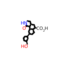 O=C(O)c1cc2cc[nH]c(=O)c2c2cc(-c3cccc(CO)c3)ccc12